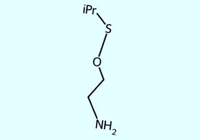 CC(C)SOCCN